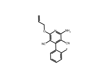 C=CCOc1nc(N)c(C#N)c(-c2ccccc2F)c1C#N